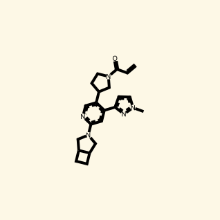 C=CC(=O)N1CCC(c2cnc(N3CC4CCC4C3)cc2-c2ccn(C)n2)C1